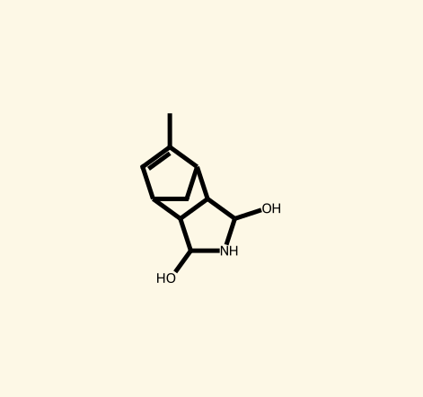 CC1=CC2CC1C1C(O)NC(O)C21